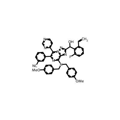 C=Cc1cccc(F)c1C(O)c1nc2c(N(Cc3ccc(OC)cc3)Cc3ccc(OC)cc3)nc(-c3cccc(C#N)c3)c(-c3ccncn3)n2n1